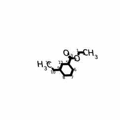 CCOC(=O)C1CCCC(CC)C1